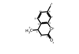 CC1CC(=O)Oc2cc(I)ccc21